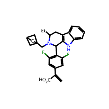 C=C(C(=O)O)c1cc(F)c(C2c3[nH]c4ccccc4c3CC(CC)N2CC23CC(C2)C3)c(F)c1